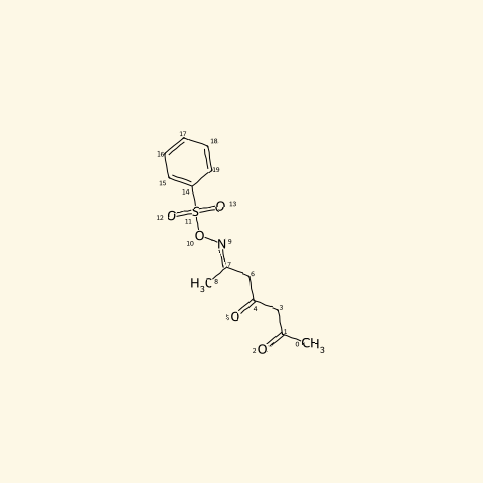 CC(=O)CC(=O)C/C(C)=N/OS(=O)(=O)c1ccccc1